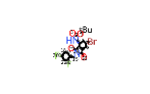 CC(C)(C)OC(=O)Nc1cc(Br)cc2c1C(=O)N(Cc1ccc(F)cc1F)C2=O